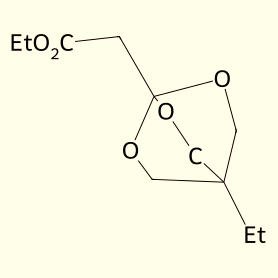 CCOC(=O)CC12OCC(CC)(CO1)CO2